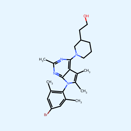 Cc1nc(N2CCCC(CCO)C2)c2c(C)c(C)n(-c3c(C)cc(Br)cc3C)c2n1